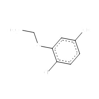 CCOC(=O)COc1cc(C)ccc1Cl